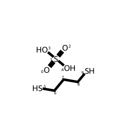 O=S(=O)(O)O.SCCCS